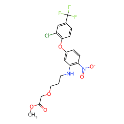 COC(=O)COCCCNc1cc(Oc2ccc(C(F)(F)F)cc2Cl)ccc1[N+](=O)[O-]